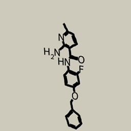 Cc1ccc(C(=O)Nc2ccc(OCc3ccccc3)cc2F)c(N)n1